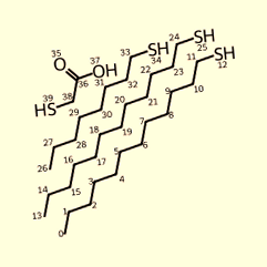 CCCCCCCCCCCCS.CCCCCCCCCCCCS.CCCCCCCCS.O=C(O)CS